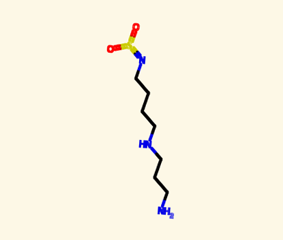 NCCCNCCCCN=S(=O)=O